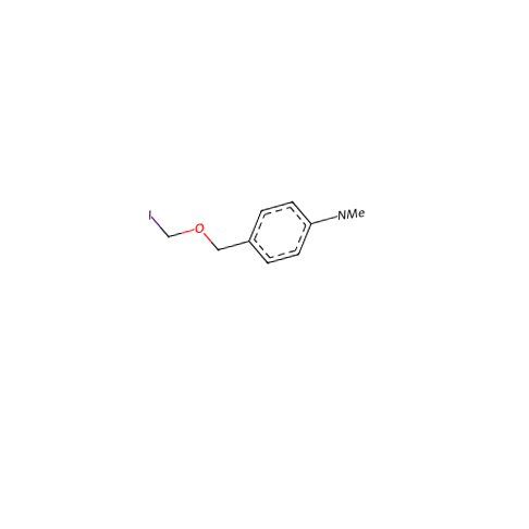 CNc1ccc(COCI)cc1